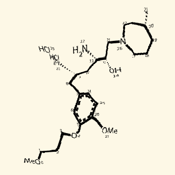 COCCCOc1cc(C[C@@H](C[C@H](N)[C@@H](O)CN2CCC[C@@H](C)C2)C(C)C)ccc1OC.Cl.Cl